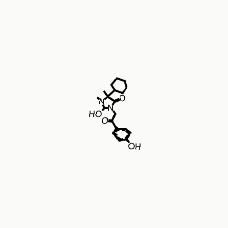 CN1C(O)N(CC(=O)c2ccc(O)cc2)C(=O)C1(C)C1CCCCC1